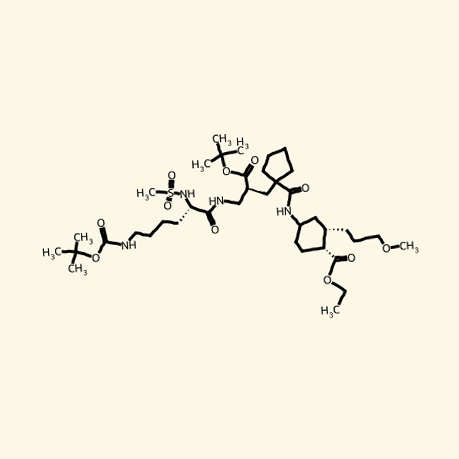 CCOC(=O)[C@@H]1CCC(NC(=O)C2(C[C@@H](CNC(=O)[C@H](CCCCNC(=O)OC(C)(C)C)NS(C)(=O)=O)C(=O)OC(C)(C)C)CCCC2)C[C@@H]1CCCOC